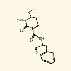 CCN1CCN(C(=O)N[C@H]([C]=O)Cc2ccccc2)C(=O)C1=O